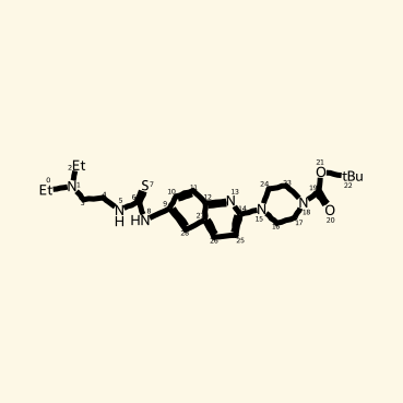 CCN(CC)CCNC(=S)Nc1ccc2nc(N3CCN(C(=O)OC(C)(C)C)CC3)ccc2c1